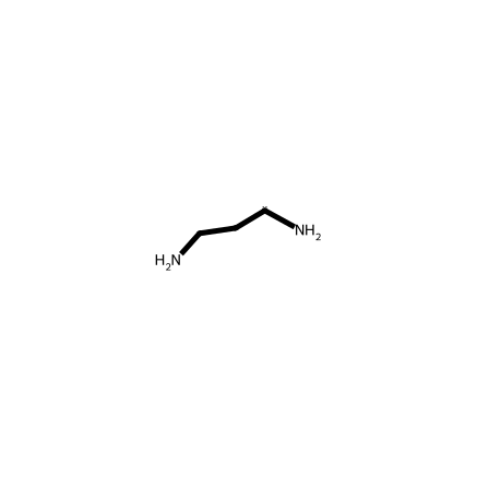 N[C]CCN